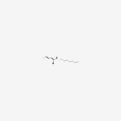 CCCCCCCCOC(=O)/C(C#N)=C/C=C/N(C)C